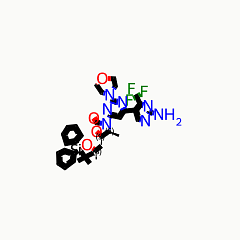 C[C@@H](C[C@@H]1OC(=O)N(c2cc(-c3cnc(N)nc3C(F)(F)F)nc(N3CCOCC3)n2)[C@H]1C)O[Si](c1ccccc1)(c1ccccc1)C(C)(C)C